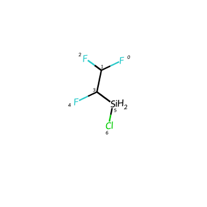 FC(F)C(F)[SiH2]Cl